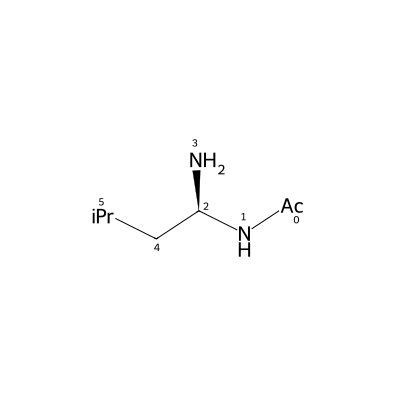 CC(=O)N[C@H](N)CC(C)C